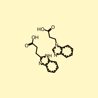 O=C(O)CCc1nc2ccccc2[nH]1.O=C(O)CCn1cnc2ccccc21